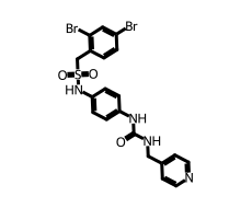 O=C(NCc1ccncc1)Nc1ccc(NS(=O)(=O)Cc2ccc(Br)cc2Br)cc1